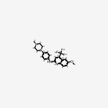 COc1ccc2nc(Nc3ccc(N4CCN(C)CC4)cc3)cc(C(F)(F)F)c2c1